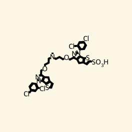 CN(CCCOCc1nn(-c2ccc(Cl)cc2Cl)c2c1Cc1ccsc1-2)CCCOCc1nn(-c2ccc(Cl)cc2Cl)c2c1Cc1cc(S(=O)(=O)O)sc1-2